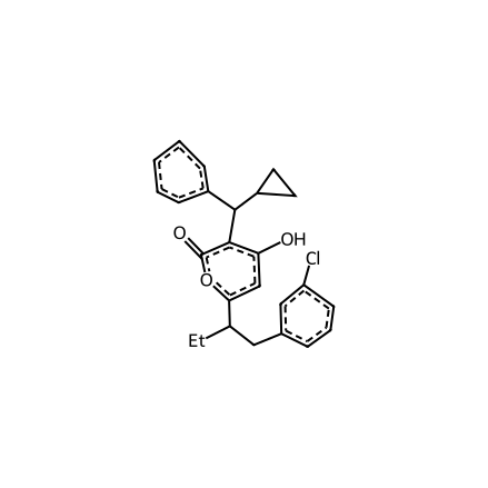 CCC(Cc1cccc(Cl)c1)c1cc(O)c(C(c2ccccc2)C2CC2)c(=O)o1